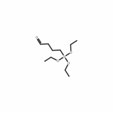 CCO[Si](CCCC=O)(OCC)OCC